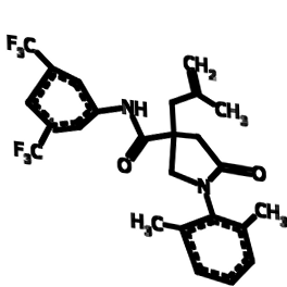 C=C(C)CC1(C(=O)Nc2cc(C(F)(F)F)cc(C(F)(F)F)c2)CC(=O)N(c2c(C)cccc2C)C1